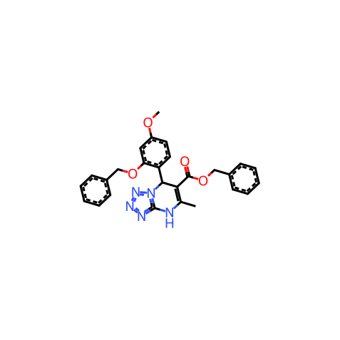 COc1ccc(C2C(C(=O)OCc3ccccc3)=C(C)Nc3nnnn32)c(OCc2ccccc2)c1